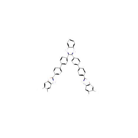 Cc1cc2nc(-c3ccc(-c4ccc(-c5nc6ccccc6nc5-c5ccc(-c6ccc(-c7nc8cc(C)c(C)cc8o7)cc6)cc5)cc4)cc3)oc2cc1C